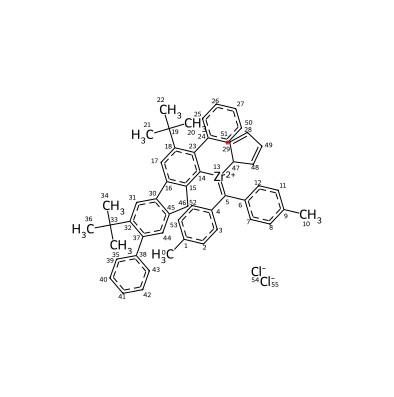 Cc1ccc([C](c2ccc(C)cc2)=[Zr+2]([c]2c3c(cc(C(C)(C)C)c2-c2ccccc2)-c2cc(C(C)(C)C)c(-c4ccccc4)cc2C3)[CH]2C=CC=C2)cc1.[Cl-].[Cl-]